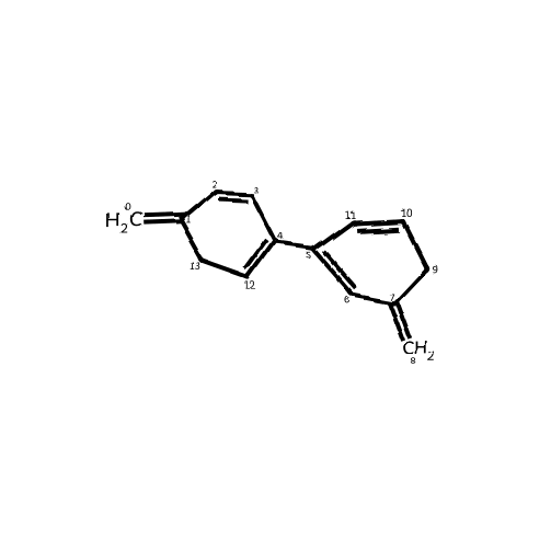 C=C1C=CC(C2=CC(=C)CC=C2)=CC1